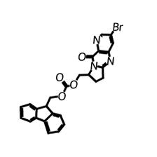 O=C(OCC1c2ccccc2-c2ccccc21)OCC1CCc2nc3cc(Br)cnc3c(=O)n21